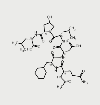 CC(=O)N[C@@H](CCC(N)=O)C(=O)N[C@@H](CC1CCCCC1)C(=O)N[C@@H](CC(=O)O)C(=O)N[C@@H](CC(C)C)C(=O)N1CC(O)C[C@H]1C(=O)N[C@@H](CC(C)C)C(=O)O